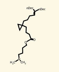 CCCCCCCCCCC(=CCCCC1(CCCC(=O)OCCCCN(C)C)CC1)CCCCCCCCCC